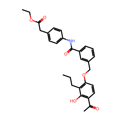 CCCc1c(OCc2cccc(C(=O)Nc3ccc(CC(=O)OCC)cc3)c2)ccc(C(C)=O)c1O